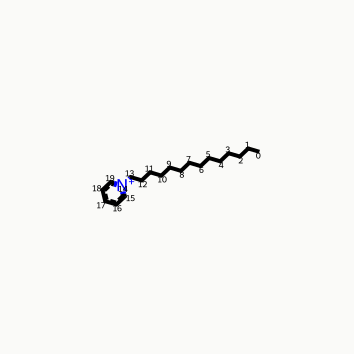 CCCCCCCCCCCCCC[n+]1ccccc1